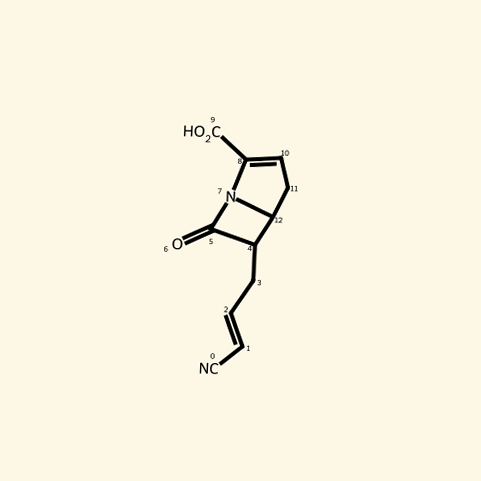 N#CC=CCC1C(=O)N2C(C(=O)O)=CCC12